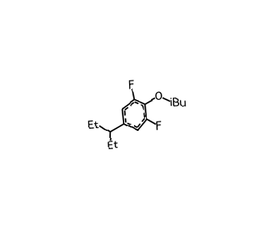 CCC(C)Oc1c(F)cc(C(CC)CC)cc1F